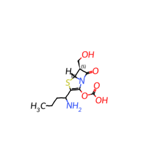 CCCC(N)C1=C(OC(=O)O)N2C(=O)[C@H](CO)[C@H]2S1